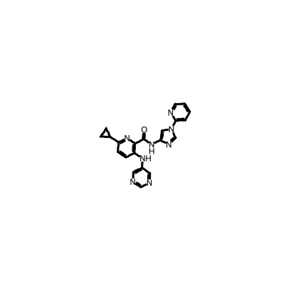 O=C(Nc1cn(-c2ccccn2)cn1)c1nc(C2CC2)ccc1Nc1cncnc1